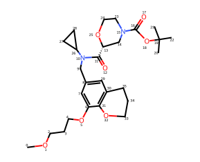 COCCCOc1cc(CN(C(=O)[C@H]2CN(C(=O)OC(C)(C)C)CCO2)C2CC2)cc2c1OCCC2